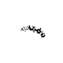 CC(=Cc1nc(-c2ccc(Oc3ccccn3)c(C)c2)no1)C(=O)O